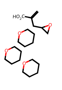 C1CCOCC1.C1CCOCC1.C1CCOCC1.C=C(CC1CO1)C(=O)O